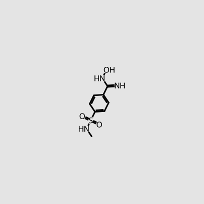 CNS(=O)(=O)c1ccc(C(=N)NO)cc1